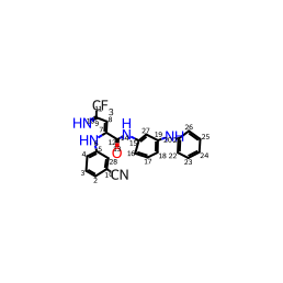 N#Cc1cccc(N/C(=C\C(=N)C(F)(F)F)C(=O)Nc2cccc(Nc3ccccc3)c2)c1